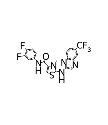 CN1C(C(=O)Nc2ccc(F)c(F)c2)=CSC1Nc1cnc2cc(C(F)(F)F)ccc2n1